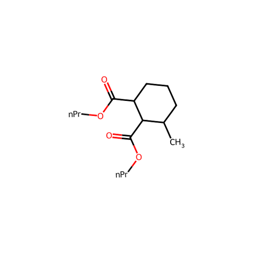 CCCOC(=O)C1CCCC(C)C1C(=O)OCCC